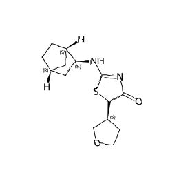 O=C1N=C(N[C@H]2C[C@@H]3CC[C@H]2C3)SC1[C@H]1CCOC1